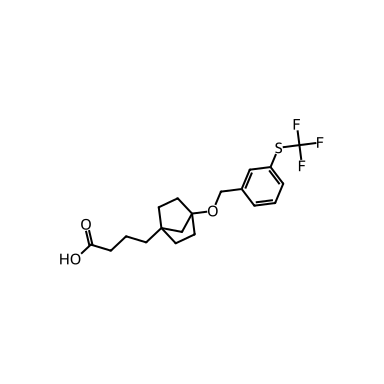 O=C(O)CCCC12CCC(OCc3cccc(SC(F)(F)F)c3)(CC1)C2